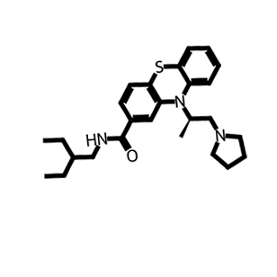 CCC(CC)CNC(=O)c1ccc2c(c1)N([C@H](C)CN1CCCC1)c1ccccc1S2